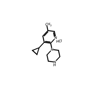 Cc1cnc(N2CCNCC2)c(C2CC2)c1.Cl